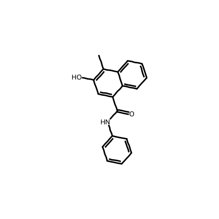 Cc1c(O)cc(C(=O)Nc2ccccc2)c2ccccc12